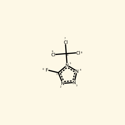 Fc1nnnn1C(Cl)(Cl)Cl